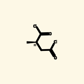 C[C@H](CC(=O)Cl)C(=O)Cl